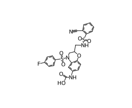 N#Cc1ccccc1S(=O)(=O)NCC1CN(S(=O)(=O)c2ccc(F)cc2)c2cc(NC(=O)O)ccc2O1